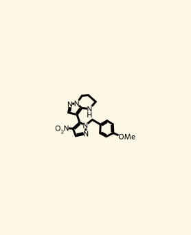 COc1ccc(Cn2ncc([N+](=O)[O-])c2-c2cnn3c2NCCC3)cc1